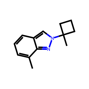 Cc1cccc2cn(C3(C)CCC3)nc12